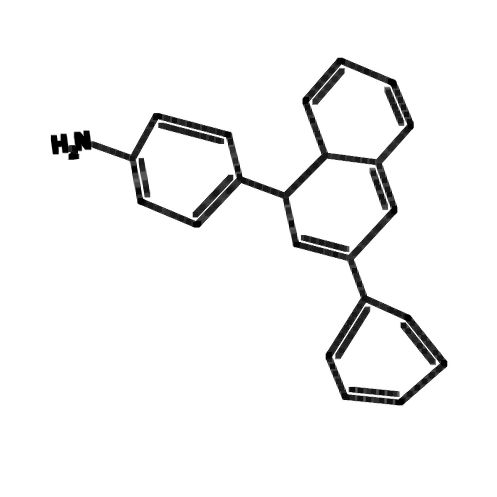 Nc1ccc(C2C=C(c3ccccc3)C=C3C=CC=CC32)cc1